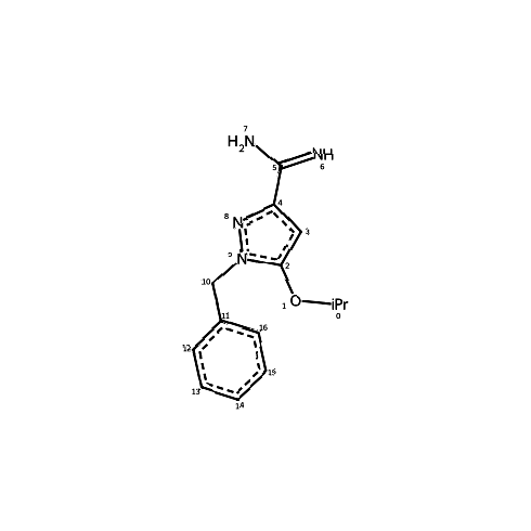 CC(C)Oc1cc(C(=N)N)nn1Cc1ccccc1